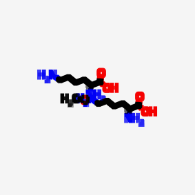 C=O.NCCCC[C@H](N)C(=O)O.NCCCC[C@H](N)C(=O)O